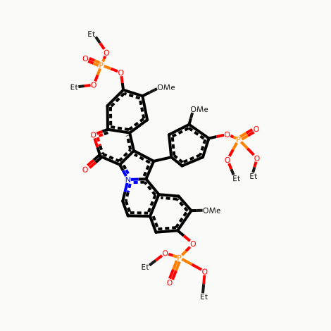 CCOP(=O)(OCC)Oc1ccc(-c2c3c4cc(OC)c(OP(=O)(OCC)OCC)cc4oc(=O)c3n3ccc4cc(OP(=O)(OCC)OCC)c(OC)cc4c23)cc1OC